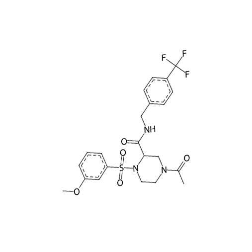 COc1cccc(S(=O)(=O)N2CCN(C(C)=O)CC2C(=O)NCc2ccc(C(F)(F)F)cc2)c1